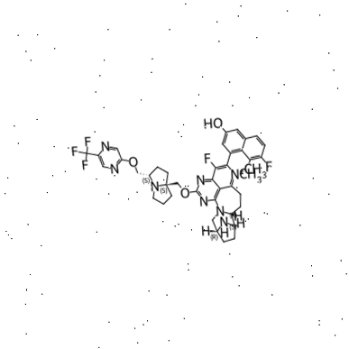 Cc1c(F)ccc2cc(O)cc(-c3c(F)c4nc(OC[C@@]56CCCN5[C@H](COc5cnc(C(F)(F)F)cn5)CC6)nc5c4c([n+]3C)CC[C@@H]3[C@@H]4CC[C@H](CN53)N4)c12